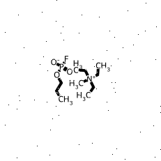 CCCOP(=O)([O-])F.CC[N+](C)(CC)CC